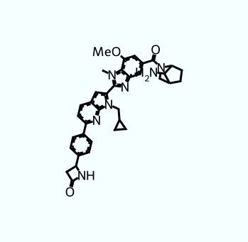 COc1cc(C(=O)N2CC3CCC2C3N)cc2nc(-c3cc4ccc(-c5ccc(C6CC(=O)N6)cc5)nc4n3CC3CC3)n(C)c12